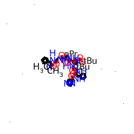 CCC[C@H](NC(=O)[C@@H]1CN(C(=O)OC(C)(C)C)C[C@@H]1NC(=O)[C@H](NC(=O)[C@@H](NC(=O)c1cnccn1)C1CCCCC1)C(C)(C)C)C(O)C(=O)NCC(=O)N[C@H](C(=O)N(C)C)c1ccccc1